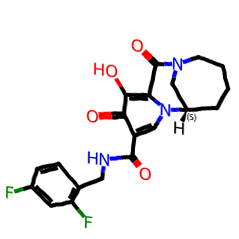 O=C(NCc1ccc(F)cc1F)c1cn2c(c(O)c1=O)C(=O)N1CCCC[C@H]2C1